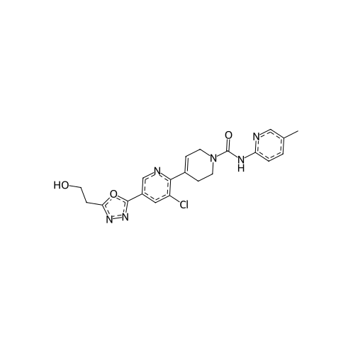 Cc1ccc(NC(=O)N2CC=C(c3ncc(-c4nnc(CCO)o4)cc3Cl)CC2)nc1